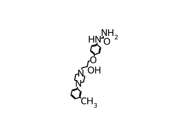 Cc1cccc(N2CCN(CC(O)COc3ccc(NC(N)=O)cc3)CC2)c1